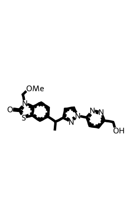 COCn1c(=O)sc2cc(C(C)c3ccn(-c4ccc(CO)nn4)n3)ccc21